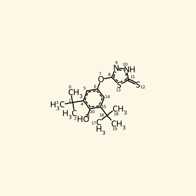 CC(C)(C)c1cc(Oc2n[nH]c(=S)s2)cc(C(C)(C)C)c1O